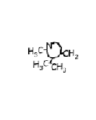 C=C1/C=C\C=N/C(C)CC(C(C)C)C1